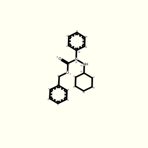 O=C(OCc1ccccc1)N(NC1CCCCC1)c1ccccc1